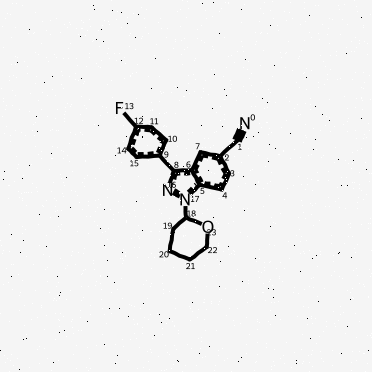 N#Cc1ccc2c(c1)c(-c1ccc(F)cc1)nn2C1CCCCO1